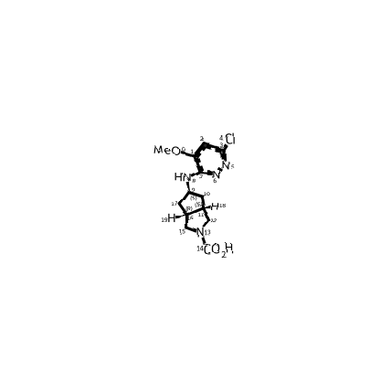 COc1cc(Cl)nnc1N[C@H]1C[C@@H]2CN(C(=O)O)C[C@@H]2C1